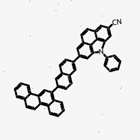 N#Cc1cc2ccc3cc(-c4ccc5cc(-c6cc7c8ccccc8ccc7c7ccccc67)ccc5c4)cc4c3c2c(c1)n4-c1ccccc1